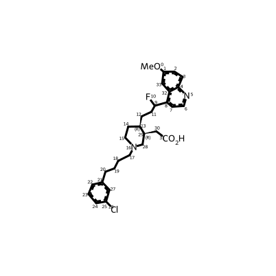 COc1ccc2nccc(C(F)CC[C@@H]3CCN(CCCCc4cccc(Cl)c4)C[C@@H]3CC(=O)O)c2c1